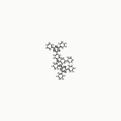 c1ccc(-c2cc3c4c(c2)c2cc(-c5nc(-c6ccccc6)nc(-c6ccccc6)n5)ccc2n4-c2ccccc2N3c2nc(-c3ccccc3)nc(-c3ccccc3)n2)cc1